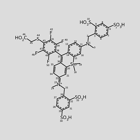 CN(Cc1ccc(S(=O)(=O)O)cc1S(=O)(=O)O)c1ccc2c(c1)[Si](C)(C)C1=C/C(=[N+](/C)Cc3ccc(S(=O)(=O)O)cc3S(=O)(=O)O)C=CC1=C2c1c(F)c(F)c(SCC(=O)O)c(F)c1F